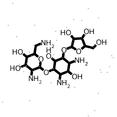 NCC1OC(OC2C(N)C(O)C(N)C(OC3OC(CO)C(O)C3O)C2O)C(N)C(O)C1O